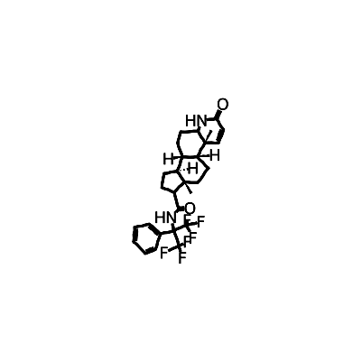 C[C@]12C=CC(=O)NC1CC[C@@H]1[C@H]2CC[C@]2(C)C(C(=O)NC(c3ccccc3)(C(F)(F)F)C(F)(F)F)CC[C@@H]12